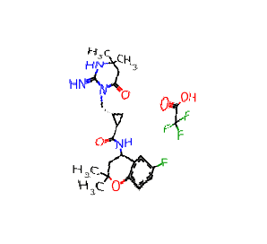 CC1(C)CC(=O)N(C[C@@H]2C[C@H]2C(=O)NC2CC(C)(C)Oc3ccc(F)cc32)C(=N)N1.O=C(O)C(F)(F)F